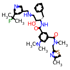 Cc1csc(CN(C)C(=O)c2cc(C(=O)N[C@@H](Cc3ccccc3)[C@H](O)CNCc3cncc(C(C)(C)F)c3)cc(N(C)C)c2)n1